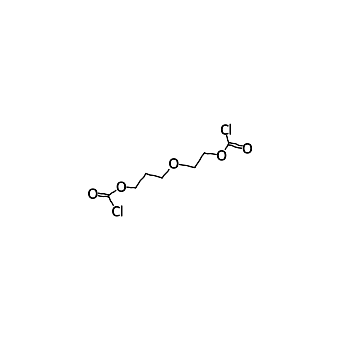 O=C(Cl)OCCCOCCOC(=O)Cl